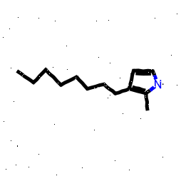 CCCCCCCCC1=C(C)[N]C=C1